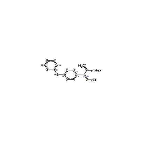 C=C(CCCCCC)/C(=C\CC)c1ccc(Sc2ccccc2)cc1